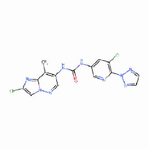 O=C(Nc1cnc(-n2nccn2)c(Cl)c1)Nc1cnn2cc(Cl)nc2c1C(F)(F)F